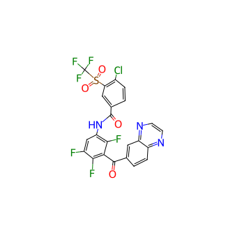 O=C(Nc1cc(F)c(F)c(C(=O)c2ccc3nccnc3c2)c1F)c1ccc(Cl)c(S(=O)(=O)C(F)(F)F)c1